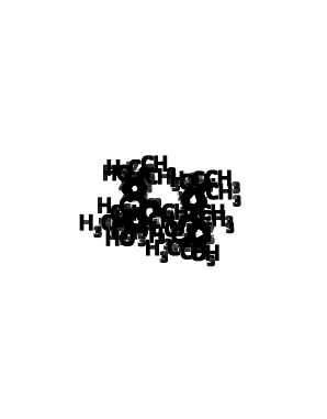 CCCC(C1(C)C=C(C(C)(C)C)C(O)=CC1)C1(C)C=C(C(C)(C)C)C(O)=CC1.CCCC(c1cc(C(C)(C)C)c(O)cc1C)c1cc(C(C)(C)C)c(O)cc1C